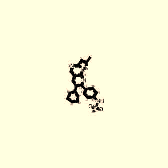 Cc1cc2ncc3cc(-c4ccccc4)c(-c4ccc(NS(C)(=O)=O)cc4)nc3n2n1